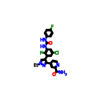 CCn1cc(-c2cc(Cl)cc(NC(=O)Nc3ccc(F)cc3)c2F)c(-c2ccnc(C(N)=O)c2)n1